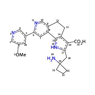 COc1cncc(-c2cc3c(cn2)CCc2c-3[nH]c(CC3(N)CCC3)c2C(=O)O)c1